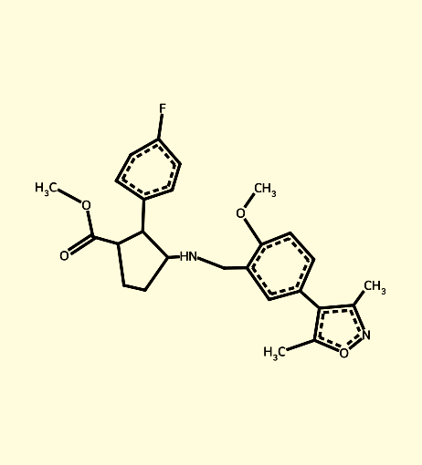 COC(=O)C1CCC(NCc2cc(-c3c(C)noc3C)ccc2OC)C1c1ccc(F)cc1